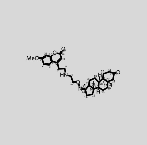 COc1ccc2c(CCNCCO/N=C3/CC[C@H]4[C@@H]5CC[C@H]6CC(=O)CC[C@]6(C)[C@H]5CC[C@]34C)cc(=O)oc2c1